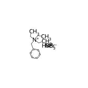 Br.CC[N+](CC)(CC)Cc1ccccc1.N.[Br-]